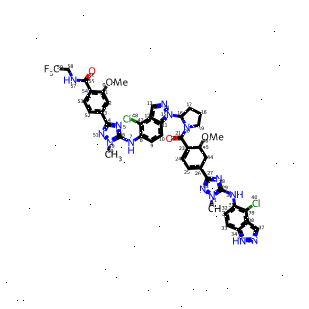 COc1cc(-c2nc(Nc3ccc4c(cnn4C4CCCN4C(=O)C4=CC=C(c5nc(Nc6ccc7[nH]ncc7c6Cl)n(C)n5)CC4OC)c3Cl)n(C)n2)ccc1C(=O)NCC(F)(F)F